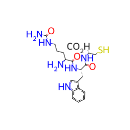 NC(=O)NCCC[C@H](N)C(=O)N[C@@H](Cc1c[nH]c2ccccc12)C(=O)N[C@@H](CS)C(=O)O